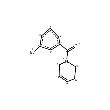 CCc1cccc(C(=O)N2CC=CCC2)c1